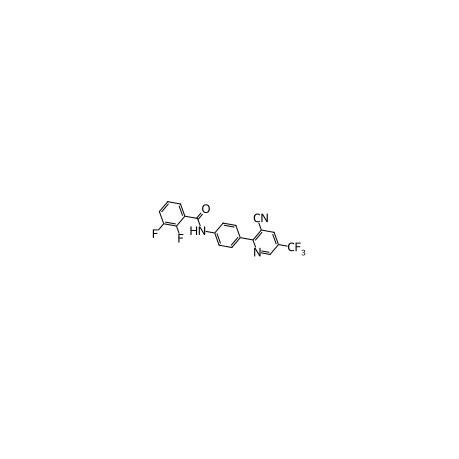 N#Cc1cc(C(F)(F)F)cnc1-c1ccc(NC(=O)c2cccc(F)c2F)cc1